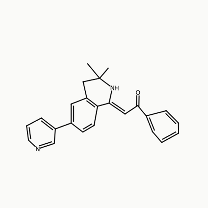 CC1(C)Cc2cc(-c3cccnc3)ccc2/C(=C/C(=O)c2ccccc2)N1